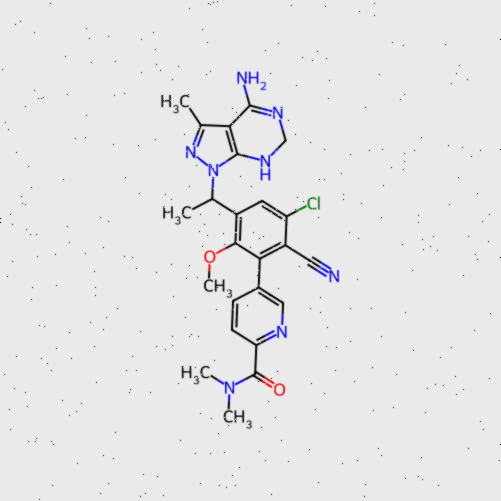 COc1c(C(C)n2nc(C)c3c2NCN=C3N)cc(Cl)c(C#N)c1-c1ccc(C(=O)N(C)C)nc1